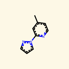 Cc1[c]cnc(-n2cccn2)c1